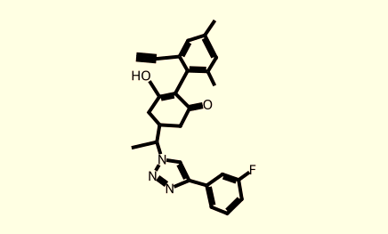 C#Cc1cc(C)cc(C)c1C1=C(O)CC(C(C)n2cc(-c3cccc(F)c3)nn2)CC1=O